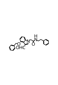 O=Cc1cn(CC(=O)NCCc2ccccc2)c2cccc(OCc3ccccc3)c12